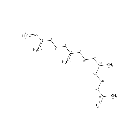 C=CC(=C)CCCC(=C)CCCC(C)CCCC(C)C